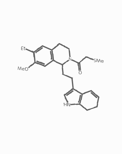 CCc1cc2c(cc1OC)C(CCc1c[nH]c3c1C=CCC3)N(C(=O)CSC)CC2